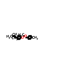 Cc1ccc(COC(C)Oc2ccc(CCC(C)(C)C)cc2)cc1